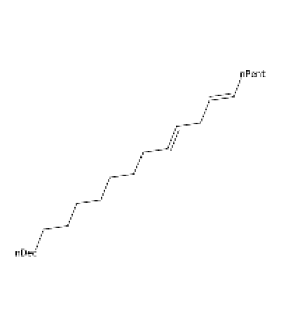 CCCCCC=CCC=CCCCCCCCCCCCCCCCCC